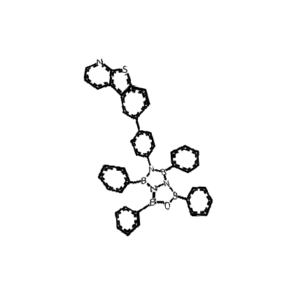 c1ccc(B2OB(c3ccccc3)N3B(c4ccccc4)N(c4ccc(-c5ccc6sc7ncccc7c6c5)cc4)B(c4ccccc4)N23)cc1